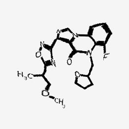 COCC(C)c1nc(-c2ncn3c2c(=O)n(CC2CCCO2)c2c(F)cccc23)no1